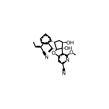 C=C(/C=C\C(C#N)=C/C)[C@@]12Oc3cc(C#N)nc(OC)c3[C@]1(O)[C@H](O)C[C@H]2c1ccccc1